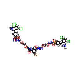 CN1Cc2c(Cl)cc(Cl)cc2C(c2ccc(S(=O)(=O)NCCOCCOCCNC(=O)c3cc(Br)cc(C(=O)NCCOCCOCCNS(=O)(=O)c4ccc(C5CN(C)Cc6c(Cl)cc(Cl)cc65)cc4)c3)cc2)C1